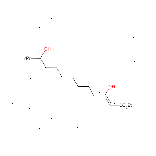 CCCC(O)CCCCCCCC(O)=CC(=O)OCC